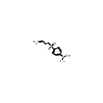 C=CCCS(=O)(=O)c1ccc(B(O)O)cc1